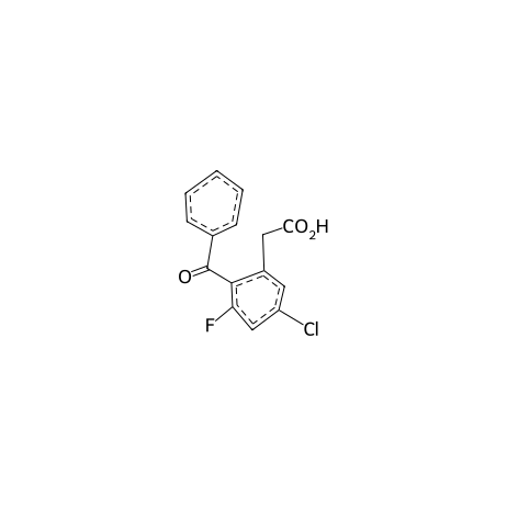 O=C(O)Cc1cc(Cl)cc(F)c1C(=O)c1ccccc1